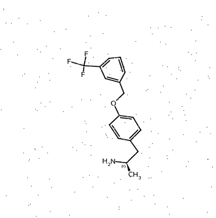 C[C@@H](N)Cc1ccc(OCc2cccc(C(F)(F)F)c2)cc1